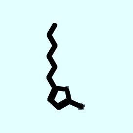 CCCCCCc1ccc(Br)s1